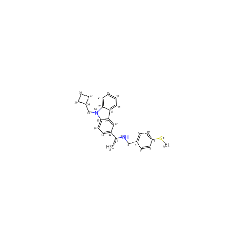 C=C(NCc1ccc(SCC)cc1)c1ccc2c(c1)c1ccccc1n2CC1CCC1